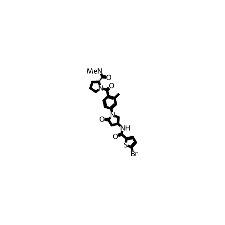 CNC(=O)[C@@H]1CCCN1C(=O)c1ccc(N2CC(NC(=O)c3ccc(Br)s3)CC2=O)cc1C